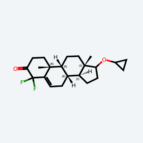 C[C@]12CCC(=O)C(F)(F)C1=CC[C@@H]1[C@H]2CC[C@]2(C)C(OC3CC3)CC[C@@H]12